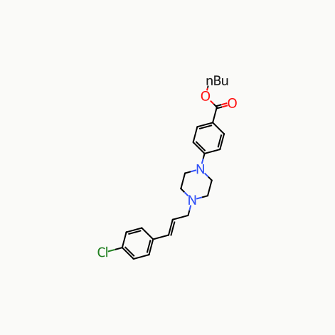 CCCCOC(=O)c1ccc(N2CCN(CC=Cc3ccc(Cl)cc3)CC2)cc1